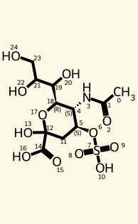 CC(=O)N[C@@H]1[C@@H](OS(=O)(=O)O)CC(O)(C(=O)O)O[C@H]1C(O)C(O)CO